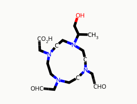 CC(CO)N1CCN(CC=O)CCN(CC=O)CCN(CC(=O)O)CC1